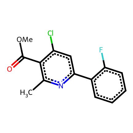 COC(=O)c1c(Cl)cc(-c2ccccc2F)nc1C